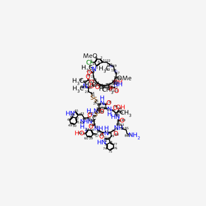 COc1cc2cc(c1Cl)N(C)C(=O)C[C@H](OC(=O)[C@H](C)N(C)C(=O)CCSSC[C@H](NC(=O)[C@@H]1CSSC[C@H](NC(=O)[C@H](N)Cc3c[nH]c4ccccc34)C(=O)N[C@@H](Cc3ccc(O)cc3)C(=O)N[C@H](Cc3c[nH]c4ccccc34)C(=O)N[C@@H](CCCCN)C(=O)N[C@@H]([C@@H](C)O)C(=O)N1)C(N)=O)[C@]1(C)O[C@H]1[C@H](C)[C@@H]1C[C@@](O)(NC(=O)O1)[C@H](OC)/C=C/C=C(\C)C2